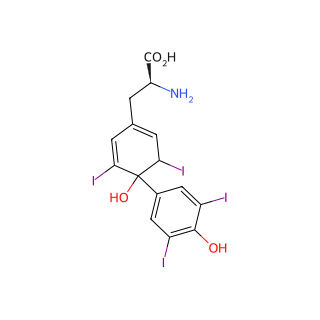 N[C@@H](CC1=CC(I)C(O)(c2cc(I)c(O)c(I)c2)C(I)=C1)C(=O)O